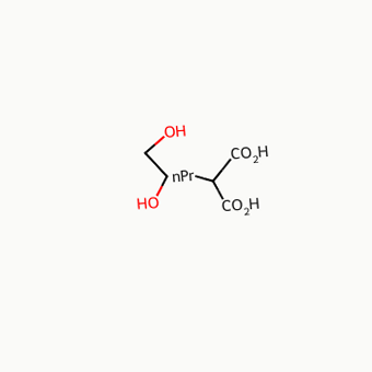 CCCC(C(=O)O)C(=O)O.OCCO